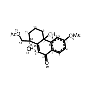 COc1ccc2c(c1)C1(C)CCC[C@](C)(COC(C)=O)C1=CC2=O